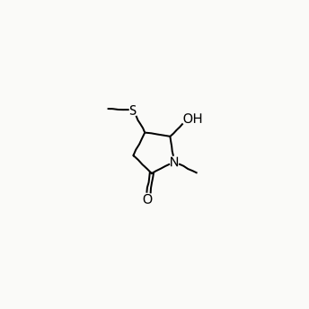 CSC1CC(=O)N(C)C1O